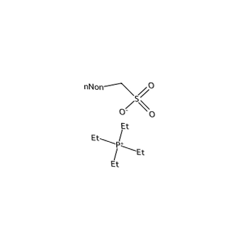 CCCCCCCCCCS(=O)(=O)[O-].CC[P+](CC)(CC)CC